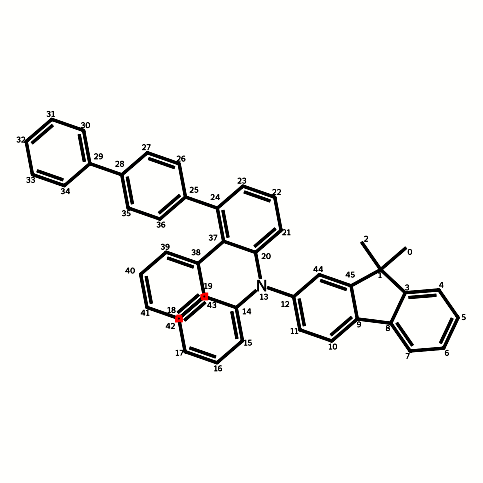 CC1(C)c2ccccc2-c2ccc(N(c3ccccc3)c3cccc(-c4ccc(-c5ccccc5)cc4)c3-c3ccccc3)cc21